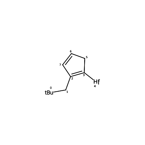 CC(C)(C)CC1=[C]([Hf])CC=C1